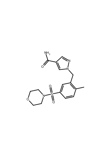 Cc1ccc(S(=O)(=O)N2CCOCC2)cc1Cn1cc(C(N)=O)cn1